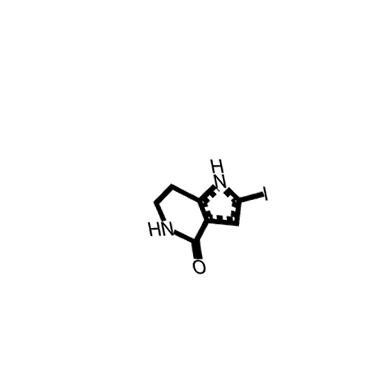 O=C1NCCc2[nH]c(I)cc21